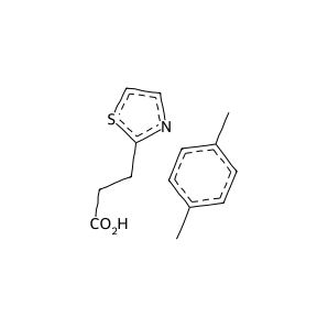 Cc1ccc(C)cc1.O=C(O)CCc1nccs1